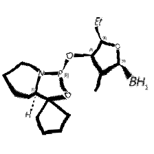 B[C@@H]1O[C@H](CC)[C@H](O[P@@]2OC3(CCCC3)[C@H]3CCCN32)C1C